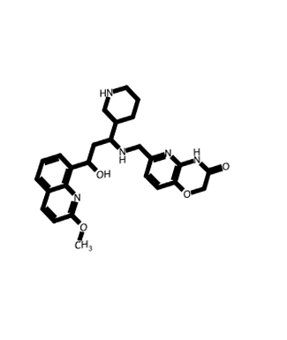 COc1ccc2cccc(C(O)CC(NCc3ccc4c(n3)NC(=O)CO4)C3CCCNC3)c2n1